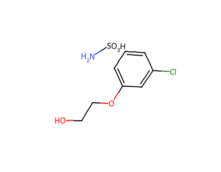 NS(=O)(=O)O.OCCOc1cccc(Cl)c1